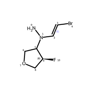 NN(/C=C/Br)C1COC[C@@H]1F